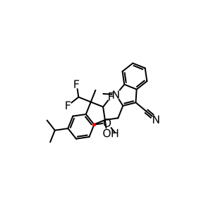 COc1ccc(C(C)C)cc1C(C)(C(F)F)C(F)C(C)(O)Cc1c(C#N)c2ccccc2n1C